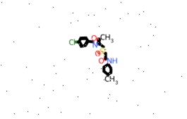 Cc1oc(-c2ccc(Cl)cc2)nc1C[S+]([O-])CC(=O)NC1CCC(C)CC1